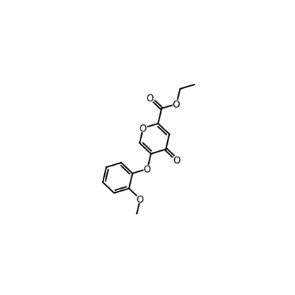 CCOC(=O)c1cc(=O)c(Oc2ccccc2OC)co1